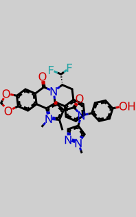 Cc1c(C(=O)N(c2ccc(O)cc2)c2cnn(C)c2)cc(-c2cc3c(cc2C(=O)N2Cc4ccccc4C[C@H]2C(F)F)OCO3)n1C